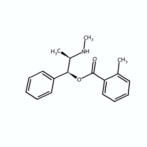 CN[C@H](C)[C@@H](OC(=O)c1ccccc1C)c1ccccc1